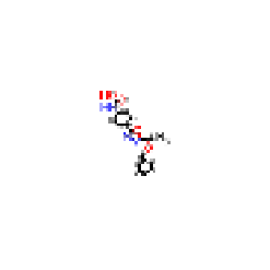 C[C@@H](OCc1ccccc1)c1nnc(C2CCC(NC(=O)O)CC2)o1